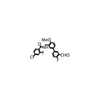 COc1ccc(-c2ccc(F)c(C=O)c2)cc1CNC(=O)c1ccc(Cl)cc1F